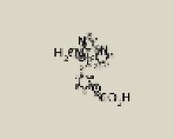 C=NOC(CCc1cccc(OCC(=O)O)c1)(c1cccnc1)c1cccnc1